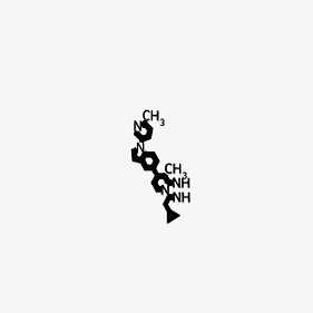 Cc1ccc(-n2ccc3cc(-c4ccn(C(=N)CC5CC5)c(=N)c4C)ccc32)cn1